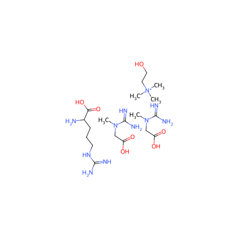 CN(CC(=O)O)C(=N)N.CN(CC(=O)O)C(=N)N.C[N+](C)(C)CCO.N=C(N)NCCCC(N)C(=O)O